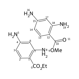 CCOC(=O)c1ccc(N)cc1N.COC(=O)c1ccc(N)cc1N